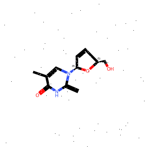 C=C1NC(=O)C(C)=CN1[C@H]1C=C[C@@H](CO)O1